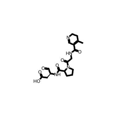 CC1=C(C(=O)NCC(=O)N2CCCC2C(=O)N[C@H](C=O)CC(=O)O)C=NCC1